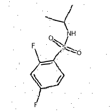 CC(C)NS(=O)(=O)c1ccc(F)cc1F